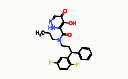 CCCN(CCC(c1ccccc1)c1cc(F)ccc1F)C(=O)c1[nH]ncc(=O)c1O